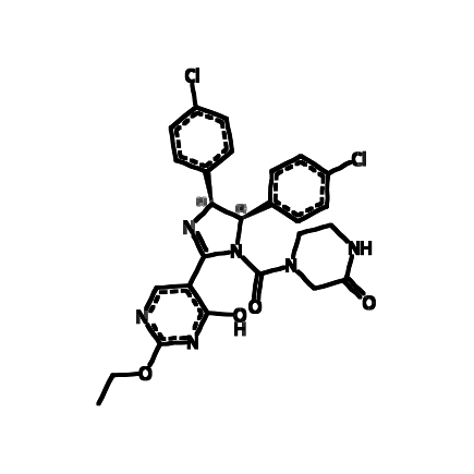 CCOc1ncc(C2=N[C@@H](c3ccc(Cl)cc3)[C@@H](c3ccc(Cl)cc3)N2C(=O)N2CCNC(=O)C2)c(O)n1